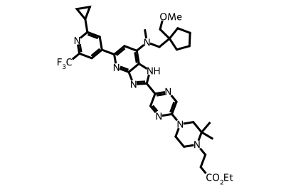 CCOC(=O)CCN1CCN(c2cnc(-c3nc4nc(-c5cc(C6CC6)nc(C(F)(F)F)c5)cc(N(C)CC5(COC)CCCC5)c4[nH]3)cn2)CC1(C)C